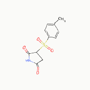 Cc1ccc(S(=O)(=O)C2CC(=O)NC2=O)cc1